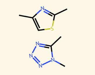 Cc1csc(C)n1.Cc1nnnn1C